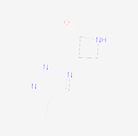 Cc1cn(C2CNC2=O)nn1